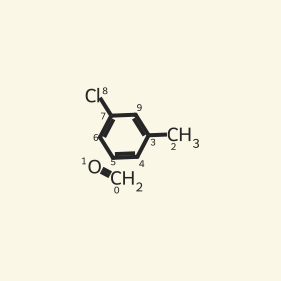 C=O.Cc1cccc(Cl)c1